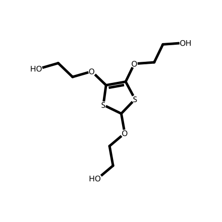 OCCOC1=C(OCCO)SC(OCCO)S1